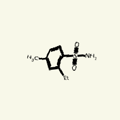 CCc1cc(C)ccc1S(N)(=O)=O